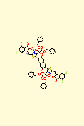 O=C1C(=O)c2c(F)cc(F)cc2/C1=C/c1nc2c(s1)C1=CC3C=C4OC(C(=O)OCc5ccccc5)(C(=O)OCc5ccccc5)c5nc(/C=C6\C(=O)C(=O)c7c(F)cc(F)cc76)sc5C4=CC3C=C1OC2(C(=O)OCc1ccccc1)C(=O)OCc1ccccc1